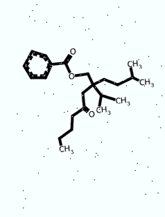 CCCCC(=O)CC(CCC(C)C)(COC(=O)c1ccccc1)C(C)C